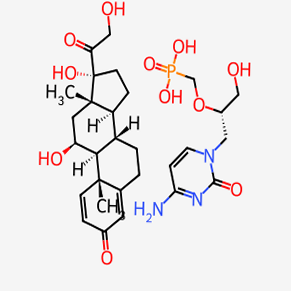 C[C@]12C=CC(=O)C=C1CC[C@@H]1[C@@H]2[C@@H](O)C[C@@]2(C)[C@H]1CC[C@]2(O)C(=O)CO.Nc1ccn(C[C@@H](CO)OCP(=O)(O)O)c(=O)n1